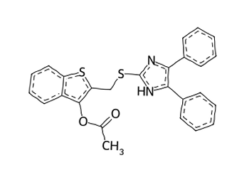 CC(=O)Oc1c(CSc2nc(-c3ccccc3)c(-c3ccccc3)[nH]2)sc2ccccc12